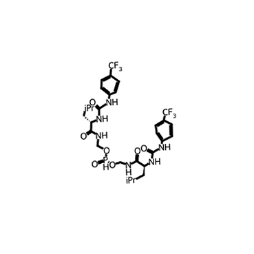 CC(C)C[C@H](NC(=O)Nc1ccc(C(F)(F)F)cc1)C(=O)NCO[PH](=O)OCNC(=O)[C@H](CC(C)C)NC(=O)Nc1ccc(C(F)(F)F)cc1